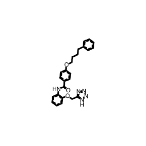 O=C(Nc1ccccc1OCc1nnn[nH]1)c1ccc(OCCCCc2ccccc2)cc1